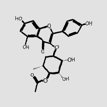 CC(=O)OC1[C@H](C)CC(Oc2c(-c3ccc(O)cc3)oc3cc(O)cc(O)c3c2=O)[C@H](O)[C@@H]1O